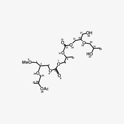 COCC(COC(=O)OCC(C)OC(=O)OCC(CO)OCC(C)O)OCC(C)OC(C)=O